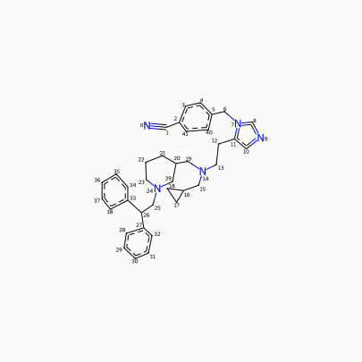 N#Cc1ccc(Cn2cncc2CCN(CC2CC2)CC2CCCN(CC(c3ccccc3)c3ccccc3)C2)cc1